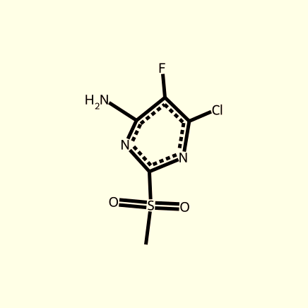 CS(=O)(=O)c1nc(N)c(F)c(Cl)n1